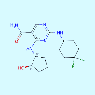 NC(=O)c1cnc(NC2CCC(F)(F)CC2)nc1N[C@@H]1CCC[C@H]1O